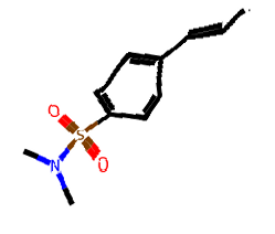 [CH2]/C=C/c1ccc(S(=O)(=O)N(C)C)cc1